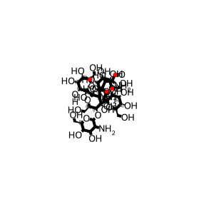 NC(C=O)C(O)C(O[C@]1([C@@]2(O)O[C@H](CO)[C@@H](O)[C@H](O)[C@@H]2O)O[C@H](CO)[C@@H](OC2O[C@H](CO)C(O)C(O)C2N)[C@](O)([C@@]2(O)O[C@H](CO)[C@@H](O)[C@H](O)[C@@H]2O)[C@@]1(N)[C@@]1(O)O[C@H](CO)[C@@H](O)[C@H](O)[C@@H]1O)C(O)CO